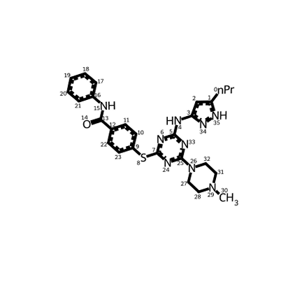 CCCc1cc(Nc2nc(Sc3ccc(C(=O)Nc4ccccc4)cc3)nc(N3CCN(C)CC3)n2)n[nH]1